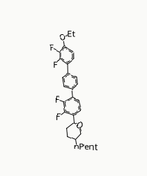 CCCCCC1CCC(c2ccc(-c3ccc(-c4ccc(OCC)c(F)c4F)cc3)c(F)c2F)OC1